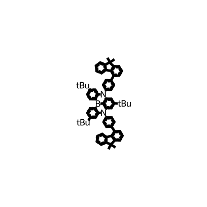 CC(C)(C)c1ccc2c(c1)N(c1ccc(-c3cccc4c3-c3ccccc3C4(C)C)cc1)c1cc(C(C)(C)C)cc3c1B2c1ccc(C(C)(C)C)cc1N3c1ccc(-c2cccc3c2-c2ccccc2C3(C)C)cc1